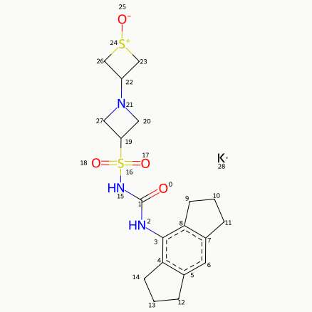 O=C(Nc1c2c(cc3c1CCC3)CCC2)NS(=O)(=O)C1CN(C2C[S+]([O-])C2)C1.[K]